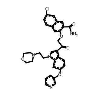 NC(=O)c1cc2cc(Cl)ccc2cc1OCC(=O)c1cn(CCN2CCOCC2)c2cc(Oc3cccnc3)ccc12